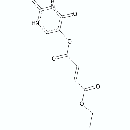 CCOC(=O)/C=C/C(=O)Oc1c[nH]c(=O)[nH]c1=O